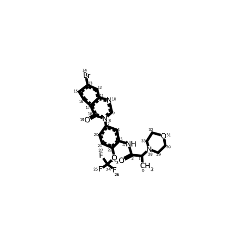 CC(C(=O)Nc1cc(-n2cnc3cc(Br)ccc3c2=O)ccc1OC(F)(F)F)N1CCOCC1